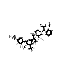 CNC(=O)[C@@H](c1ccccc1)N1CCN(C(=O)c2cnn3c(C(F)(F)F)c(C)c(-c4ccc(OC)cc4)nc23)[C@H](C)C1